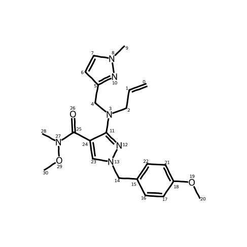 C=CCN(Cc1ccn(C)n1)c1nn(Cc2ccc(OC)cc2)cc1C(=O)N(C)OC